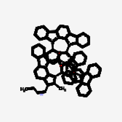 C=C/C=C\c1c(C)n(-c2cccc(-n3c4ccccc4c4ccccc43)c2)c2c1ccc1c3ccccc3n(-c3nc(-c4ccccc4)nc(-n4c5ccccc5c5ccc6c7ccccc7n(-c7cccc(-n8c9ccccc9c9ccccc98)c7)c6c54)n3)c12